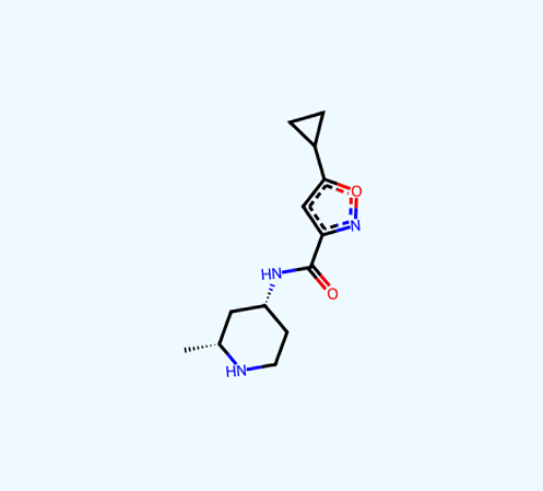 C[C@@H]1C[C@H](NC(=O)c2cc(C3CC3)on2)CCN1